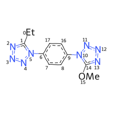 CCc1nnnn1-c1ccc(-n2nnnc2OC)cc1